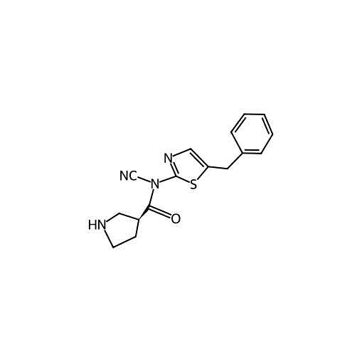 N#CN(C(=O)[C@H]1CCNC1)c1ncc(Cc2ccccc2)s1